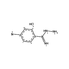 Cl.N=C(NN)c1ccc(Br)cc1